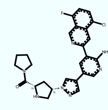 Nc1ncc(-c2cnn([C@@H]3CN[C@H](C(=O)N4CCCC4)C3)c2)cc1-c1cc2c(Cl)ccc(F)c2cn1